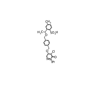 Cc1ccc(S(=O)(=O)O)c(C(C)OCc2ccc(COc3cnn(C(C)C)c(=O)c3Cl)cc2)c1